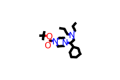 CCCN(CCC)CC(C1CCCCC1)N1CCN(C(=O)OC(C)(C)C)CC1